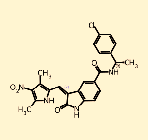 Cc1[nH]c(/C=C2\C(=O)Nc3ccc(C(=O)N[C@H](C)c4ccc(Cl)cc4)cc32)c(C)c1[N+](=O)[O-]